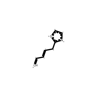 [CH]=C/C=C/Cc1ncco1